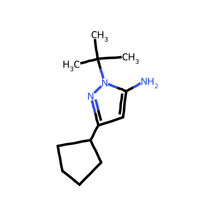 CC(C)(C)n1nc(C2CCCC2)cc1N